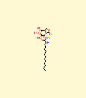 CCCCCCCCCCCCNC(=S)N[C@@H]1C(O)[C@@H](O)[C@H](O)C2COC(=O)N21